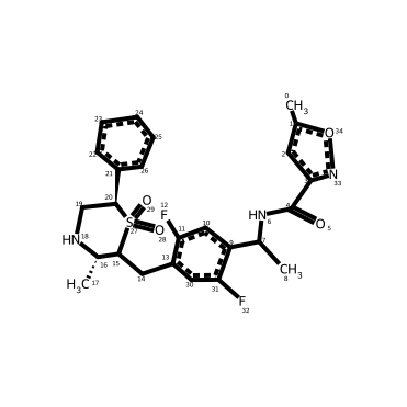 Cc1cc(C(=O)NC(C)c2cc(F)c(CC3[C@H](C)NC[C@@H](c4ccccc4)S3(=O)=O)cc2F)no1